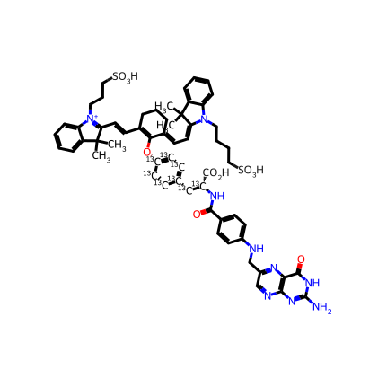 CC1(C)C(/C=C/C2=C(O[13c]3[13cH][13cH][13c]([13CH2][13C@H](NC(=O)c4ccc(NCc5cnc6nc(N)[nH]c(=O)c6n5)cc4)[13C](=O)O)[13cH][13cH]3)C(=C/C=C3/N(CCCCS(=O)(=O)O)c4ccccc4C3(C)C)/CCC2)=[N+](CCCS(=O)(=O)O)c2ccccc21